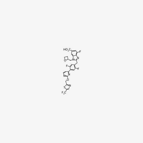 O=C(O)c1cc(F)c2nc(Cc3cc(F)c(-c4ccnc(OCc5ncc(C(F)(F)F)s5)n4)cc3F)n(C[C@@H]3CCO3)c2c1